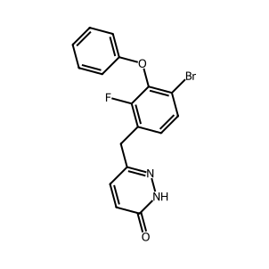 O=c1ccc(Cc2ccc(Br)c(Oc3ccccc3)c2F)n[nH]1